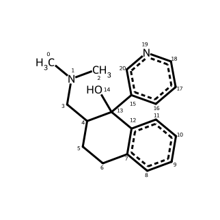 CN(C)CC1CCc2ccccc2C1(O)c1cccnc1